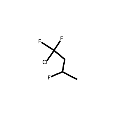 CC(F)CC(F)(F)Cl